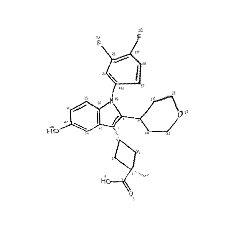 C[C@]1(C(=O)O)C[C@H](c2c(C3CCOCC3)n(-c3ccc(F)c(F)c3)c3ccc(O)cc32)C1